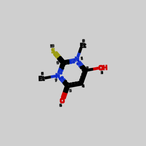 CCn1c(O)cc(=O)n(CC)c1=S